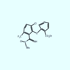 CCOC(=O)c1ccncc1Sc1c(Cl)ccc(C(F)(F)F)c1C(=N)[S+]([O-])C(C)(C)C